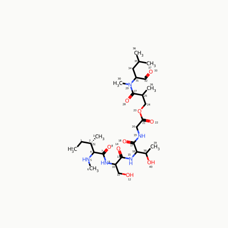 CC[C@H](C)C(NC)C(=O)NC(CO)C(=O)NC(C(=O)NCC(=O)OCC(C)C(=O)N(C)C(C=O)CC(C)C)C(C)O